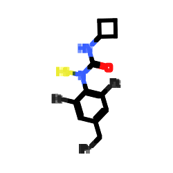 CCc1cc(CC(C)C)cc(CC)c1N(S)C(=O)NC1CCC1